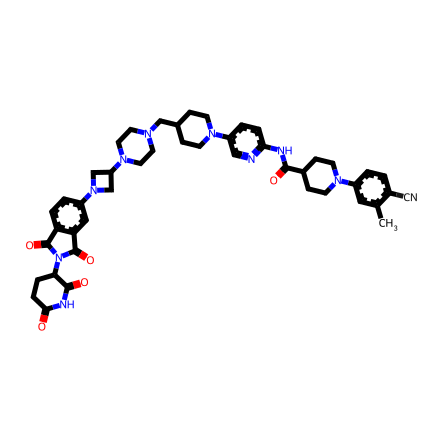 Cc1cc(N2CCC(C(=O)Nc3ccc(N4CCC(CN5CCN(C6CN(c7ccc8c(c7)C(=O)N(C7CCC(=O)NC7=O)C8=O)C6)CC5)CC4)cn3)CC2)ccc1C#N